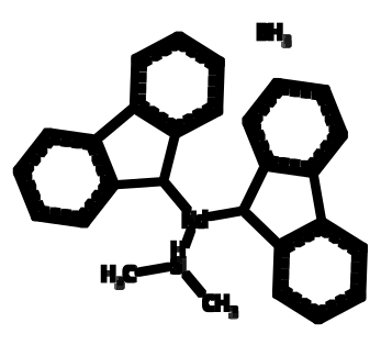 B.C[SiH](C)[Nd]([CH]1c2ccccc2-c2ccccc21)[CH]1c2ccccc2-c2ccccc21